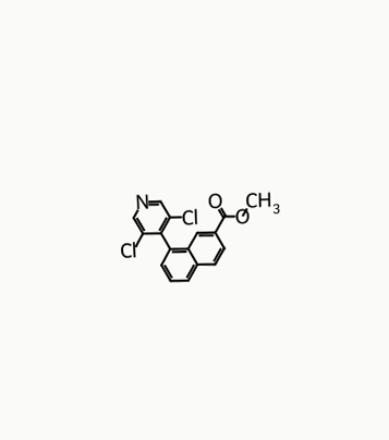 COC(=O)c1ccc2cccc(-c3c(Cl)cncc3Cl)c2c1